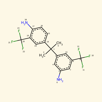 CC(C)(c1cc(N)cc(C(F)(F)F)c1)c1ccc(N)c(C(F)(F)F)c1